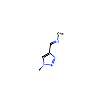 CC(=O)ON=Cc1cn(C)nn1